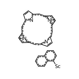 C1=Cc2cc3ccc(cc4nc(cc5ccc(cc1n2)[nH]5)C=C4)[nH]3.[Sc][c]1cccc2ccccc12